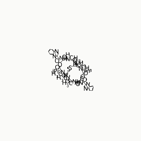 CC(C)[C@H]1C(=O)OC[C@@H](NC(=O)c2cnc3ccccc3n2)C(=O)N[C@@H](C)C(=O)N(C)[C@H]2CSSC[C@@H](C(=O)N1C)N(C)C(=O)[C@H](C)NC(=O)[C@H](NC(=O)c1cnc3ccccc3n1)COC(=O)[C@H](C(C)C)N(C)C2=O